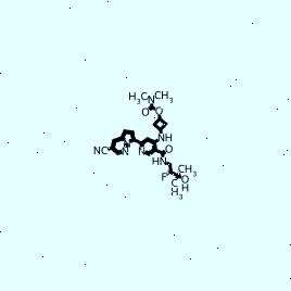 CN(C)C(=O)OC1CC(Nc2cc(-c3ccc4cc(C#N)cnn34)ncc2C(=O)NC[C@@H](F)C(C)(C)O)C1